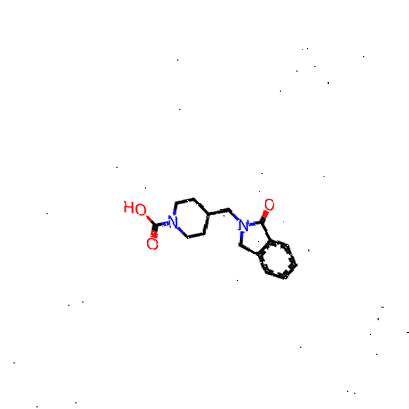 O=C(O)N1CCC(CN2Cc3ccccc3C2=O)CC1